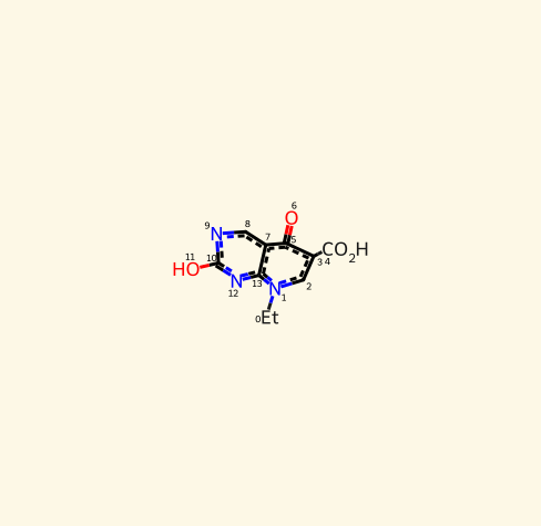 CCn1cc(C(=O)O)c(=O)c2cnc(O)nc21